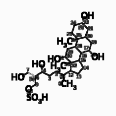 C[C@@H](CCC(O)[C@@H](CO)COS(=O)(=O)O)C1CCC2C3C(O)CC4C[C@@H](O)CCC4(C)C3CC(O)C21C